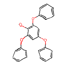 [O]c1c(Oc2ccccc2)cc(Oc2ccccc2)cc1Oc1ccccc1